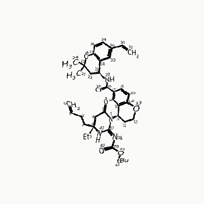 C=CCC[C@]1(CC)CC(=O)N([C@@H]2CCOc3ccc(C(=O)N[C@H]4CC(C)(C)Oc5ccc(C=C)cc54)cc32)/C(=N/C(=O)OC(C)(C)C)N1